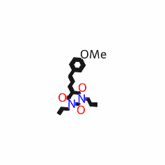 C=CCN1C(=O)C(=C/C=C/c2ccc(OC)cc2)C(=O)N(CC=C)C1=O